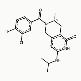 CC(C)Nc1nc2c(c(=O)[nH]1)C[C@@H](C)N(C(=O)c1ccc(Cl)c(Cl)c1)C2